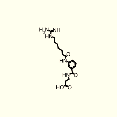 N=C(N)NCCCCCCC(=O)Nc1cccc(C(=O)NCCC(=O)O)c1